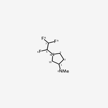 CNC1CCN(C(F)C(F)F)C1